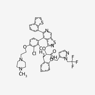 Cc1c(-c2c(-c3cccc4ccsc34)ncc3snc(O[C@H](Cc4ccccc4OCc4ccnn4CC(F)(F)F)C(=O)O)c23)ccc(OCCN2CCN(C)CC2)c1Cl